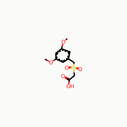 COc1cc(CS(=O)(=O)CC(=O)O)cc(OC)c1